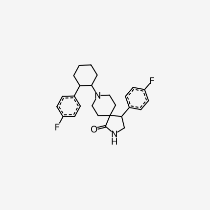 O=C1NCC(c2ccc(F)cc2)C12CCN(C1CCCCC1c1ccc(F)cc1)CC2